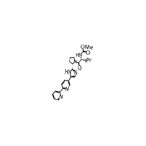 COC(=O)N[C@H](C(=O)N1CCC[C@H]1c1ncc(-c2ccc(-c3ccccn3)nc2)[nH]1)C(C)C